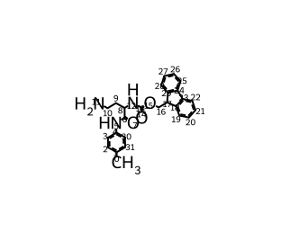 Cc1ccc(NC(=O)C(CCN)NC(=O)OCC2c3ccccc3-c3ccccc32)cc1